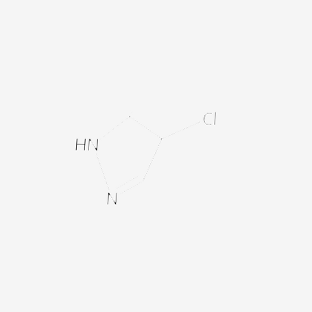 ClC1[C]NN=C1